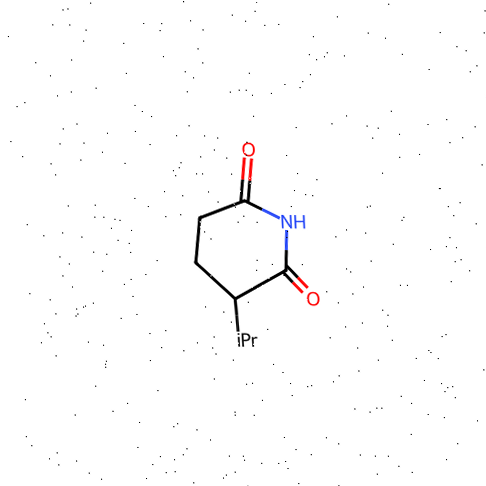 CC(C)C1CCC(=O)NC1=O